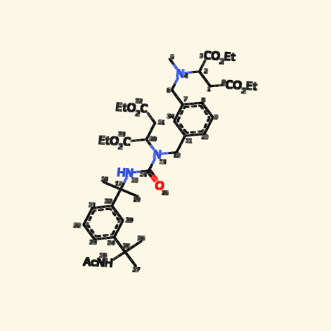 CCOC(=O)CC(C(=O)OCC)N(C)Cc1cccc(CN(C(=O)NC(C)(C)c2cccc(C(C)(C)NC(C)=O)c2)C(CC(=O)OCC)C(=O)OCC)c1